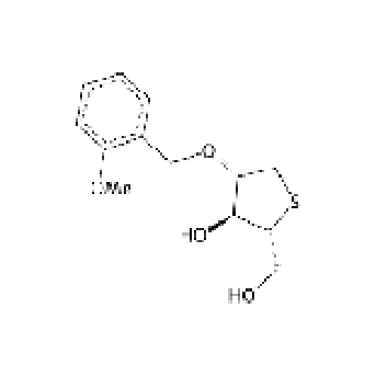 COc1ccccc1CO[C@@H]1CS[C@H](CO)[C@H]1O